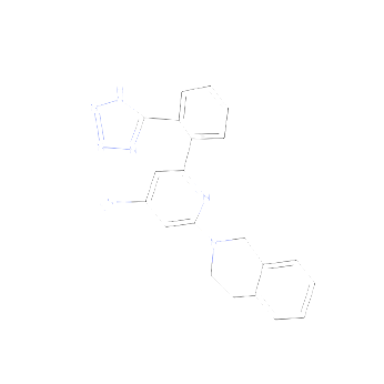 Nc1cc(-c2ccccc2-c2nnn[nH]2)nc(N2CCc3ccccc3C2)c1